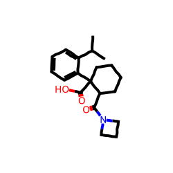 CC(C)c1ccccc1C1(C(=O)O)CCCCC1C(=O)N1CCC1